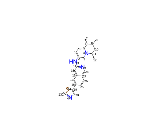 C/C=C(\CN1C[C@@H](C)C(C)C[C@H]1C)Nc1cc2cc(-c3cnc(C)s3)ccc2cn1